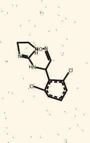 O/N=C\C(NC1=NCCN1)c1c(Cl)cccc1Cl